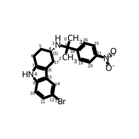 CC(C)(N[C@H]1CCc2[nH]c3ccc(Br)cc3c2C1)c1ccc([N+](=O)[O-])cc1